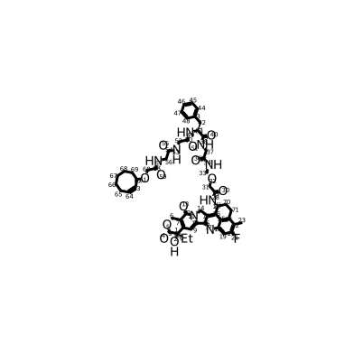 CC[C@@]1(O)C(=O)OCc2c1cc1n(c2=O)Cc2c-1nc1cc(F)c(C)c3c1c2[C@@H](NC(=O)COCNC(=O)CNC(=O)[C@H](Cc1ccccc1)NC(=O)CNC(=O)CNC(=O)COC1C#CCCCCC1)CC3